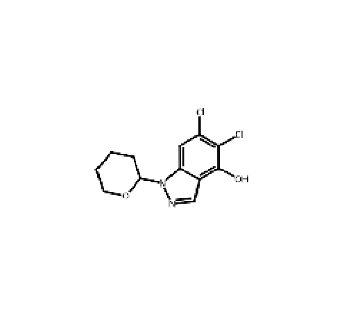 Oc1c(Cl)c(Cl)cc2c1cnn2C1CCCCO1